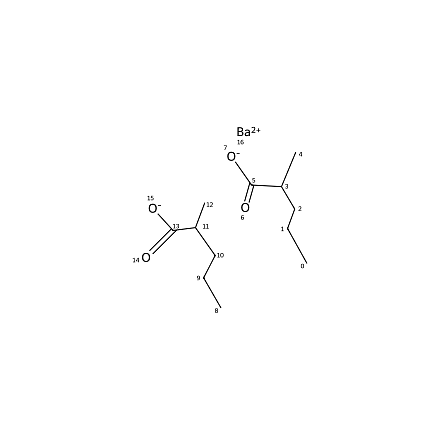 CCCC(C)C(=O)[O-].CCCC(C)C(=O)[O-].[Ba+2]